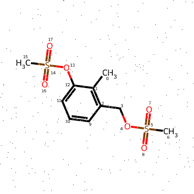 Cc1c(COS(C)(=O)=O)cccc1OS(C)(=O)=O